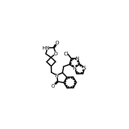 O=C1NCC2(CC(CN3C(=O)c4ccccc4C3Cc3c(Cl)nc4sccn34)C2)O1